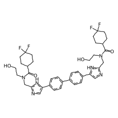 O=C(C1CCC(F)(F)CC1)N(CCO)Cc1ncc(-c2ccc(-c3ccc(-c4cnc(CN(CCO)C(=O)C5CCC(F)(F)CC5)[nH]4)cc3)cc2)[nH]1